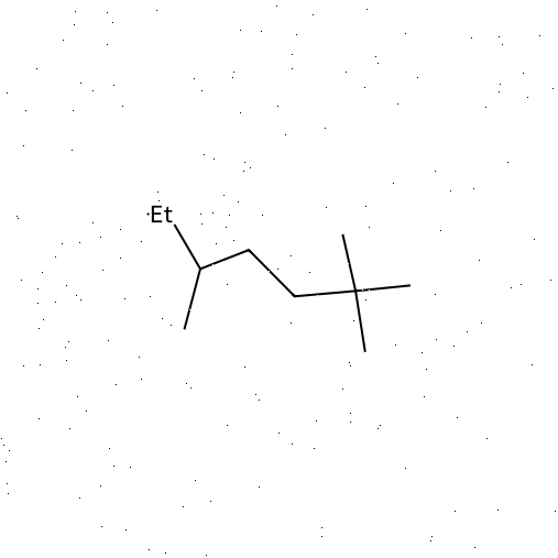 C[CH]C(C)CCC(C)(C)C